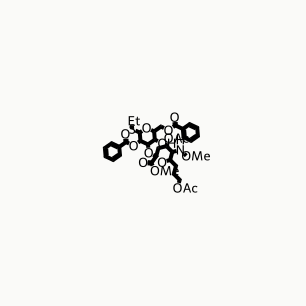 CCSC1OC(COC(=O)c2ccccc2)C(O)C(OC2(C(=O)OC)CC(OC(C)=O)C(NOC)C(CCCOC(C)=O)O2)C1OC(=O)c1ccccc1